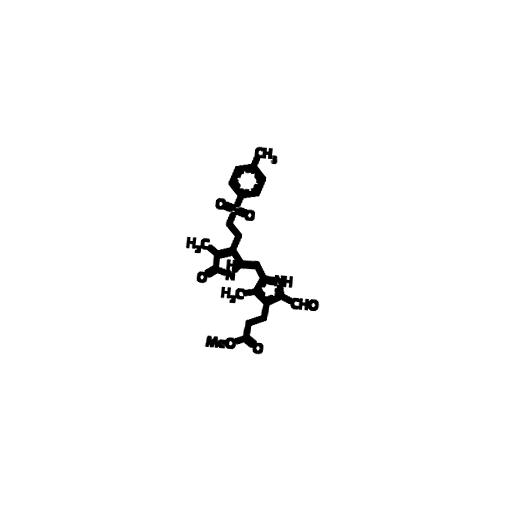 COC(=O)CCc1c(C=O)[nH]c(/C=C2\NC(=O)C(C)=C2CCS(=O)(=O)c2ccc(C)cc2)c1C